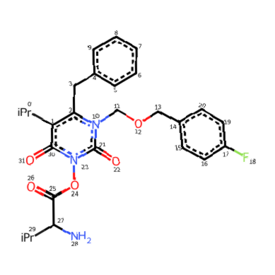 CC(C)c1c(Cc2ccccc2)n(COCc2ccc(F)cc2)c(=O)n(OC(=O)C(N)C(C)C)c1=O